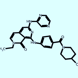 CCn1ccc2cc(Nc3cnccn3)nc(Nc3ccc(C(=O)N4CCC(O)CC4)cc3)c2c1=O